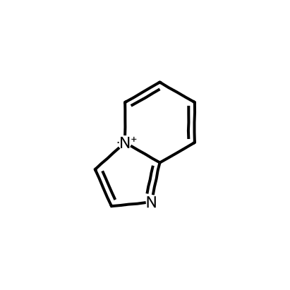 C1=CC2=NC=C[N+]2C=C1